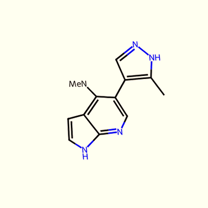 CNc1c(-c2cn[nH]c2C)cnc2[nH]ccc12